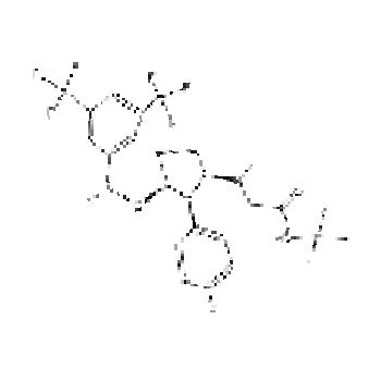 C[C@@H](O[C@H]1CC[C@@H](N(C)CC(=O)NC(C)(C)C)[C@H]1c1ccc(F)cc1)c1cc(C(F)(F)F)cc(C(F)(F)F)c1